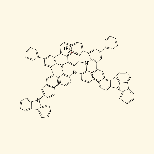 CC(C)(C)c1cc2c3c(c1)N(c1c(-c4ccccc4)cc(-c4ccccc4)cc1-c1ccccc1)c1cc(-c4ccc5c(c4)c4cccc6c7ccccc7n5c64)ccc1B3c1ccc(-c3ccc4c(c3)c3cccc5c6ccccc6n4c53)cc1N2c1c(-c2ccccc2)cc(-c2ccccc2)cc1-c1ccccc1